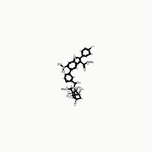 CCN(CC)c1cc2oc(-c3ccc(F)cc3)c(C(=O)NC)c2cc1-c1cccc(C(=O)N[C@H]2[C@@H](C(=O)OC)C[C@H]3C[C@@H]2C3(C)C)c1